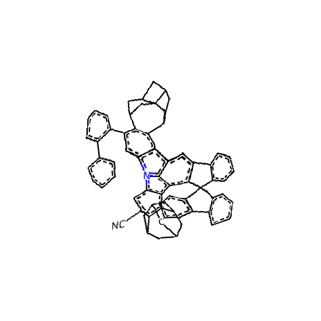 N#Cc1cc2c(c3c1C1CC4CC(C1)CC3C4)c1c3c(cc4c5c6c(c(-c7ccccc7-c7ccccc7)cc5n2c41)C1CC2CC4CC6CC24C1)-c1ccccc1C31c2ccccc2-c2ccccc21